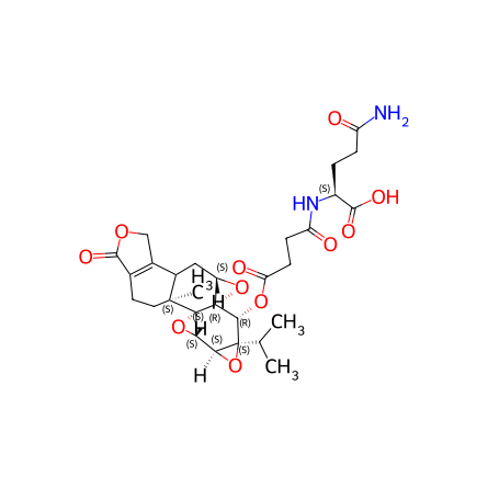 CC(C)[C@]12O[C@H]1[C@@H]1O[C@]13[C@]1(O[C@H]1CC1C4=C(CC[C@@]13C)C(=O)OC4)[C@@H]2OC(=O)CCC(=O)N[C@@H](CCC(N)=O)C(=O)O